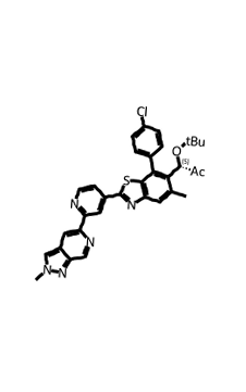 CC(=O)[C@@H](OC(C)(C)C)c1c(C)cc2nc(-c3ccnc(-c4cc5cn(C)nc5cn4)c3)sc2c1-c1ccc(Cl)cc1